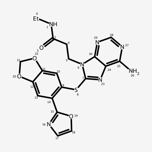 CCNC(=O)CCn1c(Sc2cc3c(cc2-c2ncco2)OCO3)nc2c(N)ncnc21